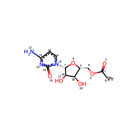 CC(C)C(=O)OC[C@H]1O[C@@H](n2ccc(N)nc2=O)[C@H](O)[C@@H]1O